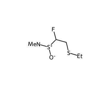 CCSCC(F)[S+]([O-])NC